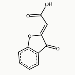 O=C(O)/C=C1\Oc2ccccc2C1=O